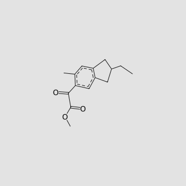 CCC1Cc2cc(C)c(C(=O)C(=O)OC)cc2C1